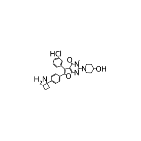 Cl.Cn1c(N2CCC(O)CC2)nc2oc(-c3ccc(C4(N)CCC4)cc3)c(-c3ccccc3)c2c1=O